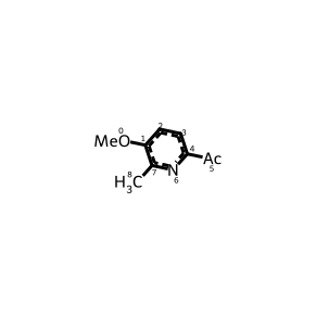 COc1ccc(C(C)=O)nc1C